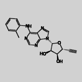 C#C[C@H]1O[C@@H](n2cnc3c(Nc4ccccc4C)ncnc32)[C@H](O)[C@@H]1O